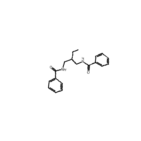 CCC(CNC(=O)c1ccccc1)CNC(=O)c1ccccc1